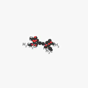 C=Cc1ccc(Oc2ccc(C3(c4ccc(OC)cc4)c4ccccc4-c4ccc(C(c5ccc(-c6ccc(N(c7ccc(C)c(F)c7)c7ccc8c(c7)C(c7ccc(OC)cc7)(c7ccc(Oc9ccc(C=C)cc9)cc7)c7ccccc7-8)cc6)cc5)c5ccc(C)c(F)c5)cc43)cc2)cc1